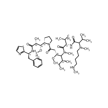 CC[C@H](C)C([C@@H](CC(=O)N1CCC[C@H]1[C@H](OC)[C@@H](C)C(=O)N[C@@H](Cc1ccccc1)c1nccs1)OC)N(C)C(=O)[C@@H](NC(=O)C(C(C)C)N(C)CCCCNC)C(C)C